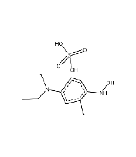 CCN(CC)c1ccc(NO)c(C)c1.O=S(=O)(O)O